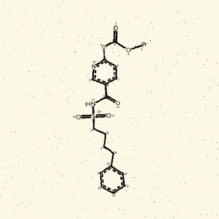 CC(C)OC(=O)Oc1ccc(C(=O)NS(=O)(=O)CCCCc2ccccc2)cn1